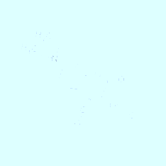 CCOC1C(=O)Oc2cc(N(CC)CC)ccc2C1=C=O